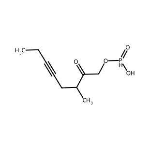 CCC#CCC(C)C(=O)CO[PH](=O)O